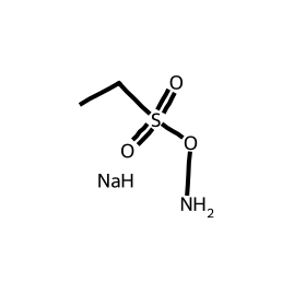 CCS(=O)(=O)ON.[NaH]